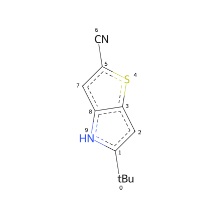 CC(C)(C)c1cc2sc(C#N)cc2[nH]1